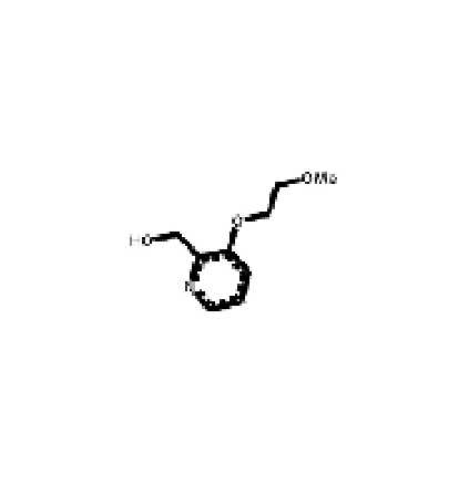 COCCOc1c[c]cnc1CO